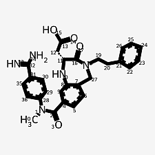 CN(C(=O)c1ccc2c(c1)N[C@H](CC(=O)O)C(=O)N(CCc1ccccc1)C2)c1ccc(C(=N)N)cc1